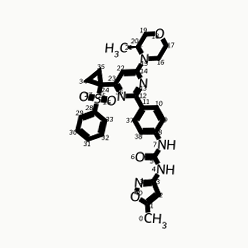 Cc1cc(NC(=O)Nc2ccc(-c3nc(N4CCOC[C@@H]4C)cc(C4(S(=O)(=O)c5ccccc5)CC4)n3)cc2)no1